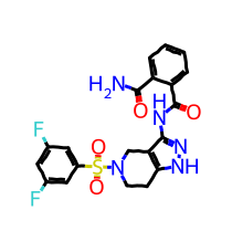 NC(=O)c1ccccc1C(=O)Nc1n[nH]c2c1CN(S(=O)(=O)c1cc(F)cc(F)c1)CC2